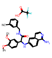 CCOc1cc(C(Nc2ccc3c(N)nccc3c2)C(=O)NCc2cccc(C#N)c2)ccc1OC(C)C.O=C(O)C(F)(F)F